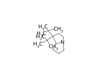 CC(C)(C)C1(C(C)(C)C)CCN2CCCC21